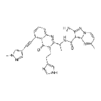 Cc1ccn2nc(N)c(C(=O)NC(C)c3nc4cccc(C#Cc5cnn(C)c5)c4c(=O)n3CCc3c[nH]cn3)c2n1